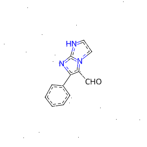 O=Cc1c(-c2ccccc2)nc2[nH]ccn12